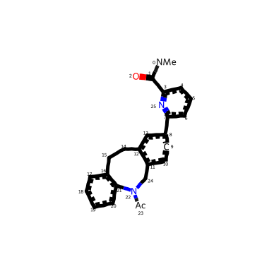 CNC(=O)c1cccc(-c2ccc3c(c2)CCc2ccccc2N(C(C)=O)C3)n1